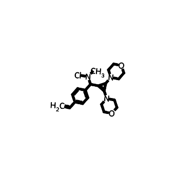 C=Cc1ccc(C(C2=C(N3CCOCC3)C2N2CCOCC2)N(C)Cl)cc1